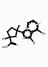 COC(=O)C1(C(C)C)CCC(C)(c2nc(Br)c3c(N)nccn23)C1